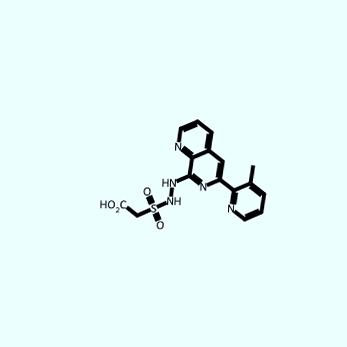 Cc1cccnc1-c1cc2cccnc2c(NNS(=O)(=O)CC(=O)O)n1